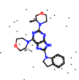 C[C@@H]1COCCN1c1nc(N2CCOC[C@@H]2C)nc2[nH]c(N3CCc4ccccc43)nc12